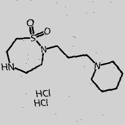 Cl.Cl.O=S1(=O)CCNCCN1CCCN1CCCCC1